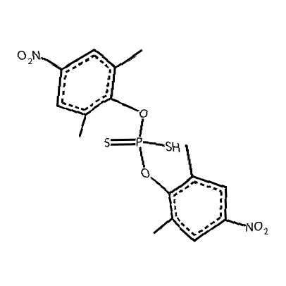 Cc1cc([N+](=O)[O-])cc(C)c1OP(=S)(S)Oc1c(C)cc([N+](=O)[O-])cc1C